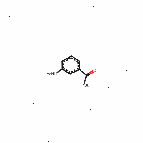 CC(=O)Nc1cccc(C(=O)C(C)(C)C)c1